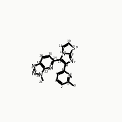 Cc1cccc(-c2nc3sccn3c2-c2ccc3nnn(C)c3n2)n1